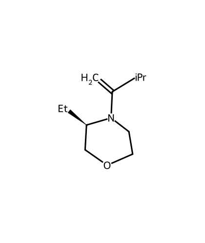 C=C(C(C)C)N1CCOC[C@H]1CC